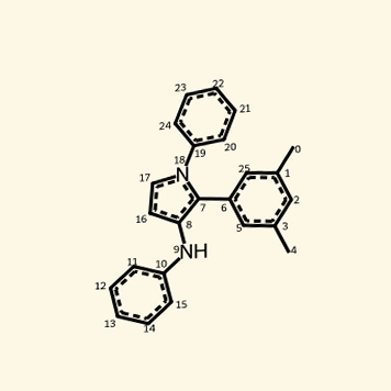 Cc1cc(C)cc(-c2c(Nc3ccccc3)ccn2-c2ccccc2)c1